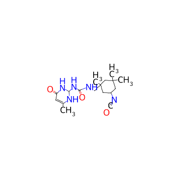 CC1=CC(=O)NC(NC(=O)NCC2(C)CC(N=C=O)CC(C)(C)C2)N1